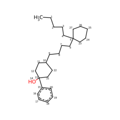 CCCCCC1(CCCCC2CCC(O)(c3ccccc3)CC2)CCCCC1